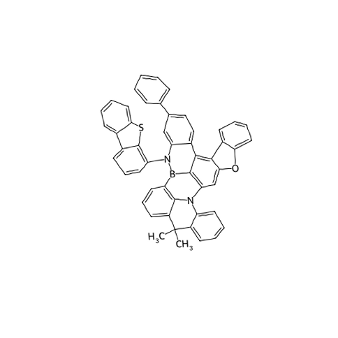 CC1(C)c2ccccc2N2c3cc4oc5ccccc5c4c4c3B(c3cccc1c32)N(c1cccc2c1sc1ccccc12)c1cc(-c2ccccc2)ccc1-4